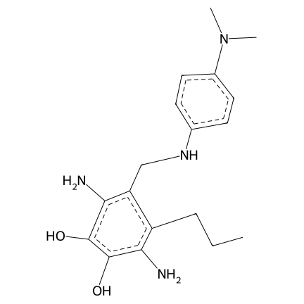 CCCc1c(N)c(O)c(O)c(N)c1CNc1ccc(N(C)C)cc1